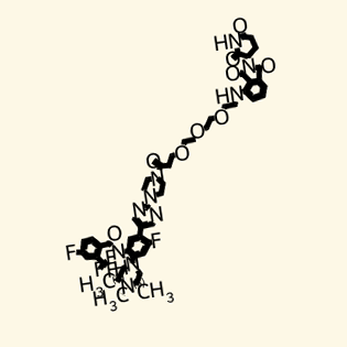 C[C@@H]1CN(c2cc(F)c(-c3cnc(N4CCN(C(=O)CCOCCOCCOCCNc5cccc6c5C(=O)N(C5CCC(=O)NC5=O)C6=O)CC4)nc3)cc2NC(=O)c2ccc(F)cc2C(F)(F)F)C[C@H](C)N1C